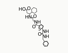 O=C(O)CC(NC(=O)CNC(=O)c1ccc(NC(=O)NCc2ccccc2)s1)C1CCCCC1